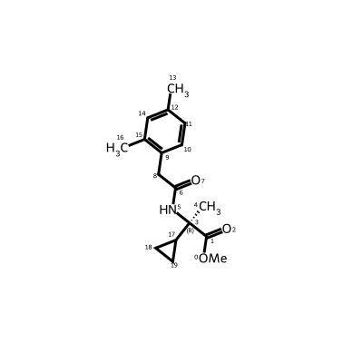 COC(=O)[C@](C)(NC(=O)Cc1ccc(C)cc1C)C1CC1